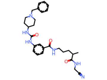 CC(CCCNC(=O)c1cccc(NC(=O)NC2CCN(Cc3ccccc3)CC2)c1)C(=O)NCC#N